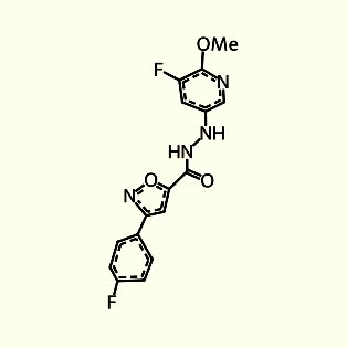 COc1ncc(NNC(=O)c2cc(-c3ccc(F)cc3)no2)cc1F